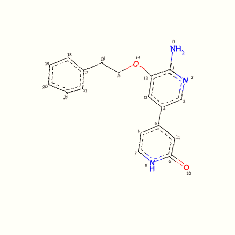 Nc1ncc(-c2cc[nH]c(=O)c2)cc1OCCc1ccccc1